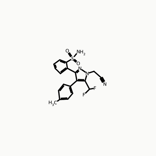 Cc1ccc(-c2c(-c3ccccc3S(N)(=O)=O)nn(CC#N)c2C(F)F)cc1